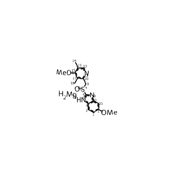 COc1ccc2[nH]c([S+]([O-])Cc3ncc(C)c(OC)c3C)nc2c1.[MgH2]